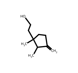 C=C1CCC(C)(CCO)C1C